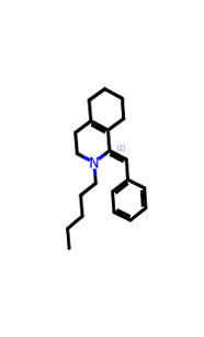 CCCCCN1CCC2=C(CCCC2)/C1=C/c1ccccc1